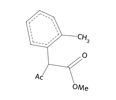 COC(=O)C(C(C)=O)c1ccccc1C